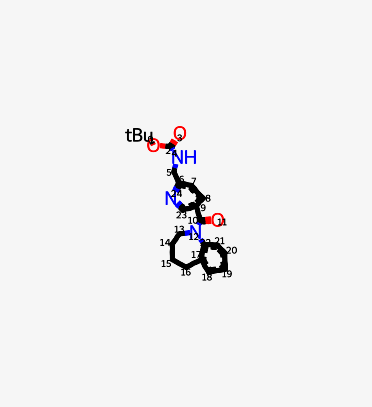 CC(C)(C)OC(=O)NCc1ccc(C(=O)N2CCCCc3ccccc32)cn1